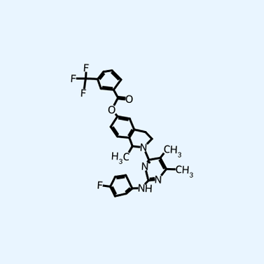 Cc1nc(Nc2ccc(F)cc2)nc(N2CCc3cc(OC(=O)c4cccc(C(F)(F)F)c4)ccc3C2C)c1C